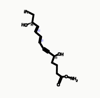 CC(C)C[C@@H](O)/C=C/C=C/C#C[C@@H](O)CCCC(=O)ON